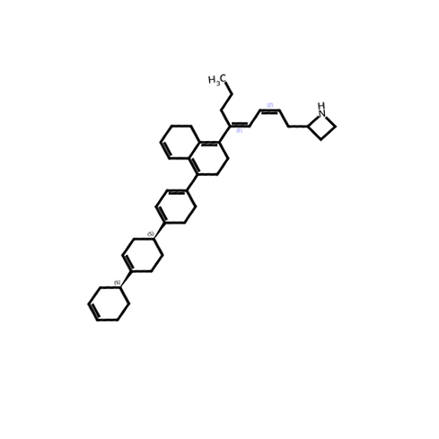 CCC/C(=C\C=C/CC1CCN1)C1=C2CCC=CC2=C(C2=CC=C([C@@H]3CC=C([C@@H]4CC=CCC4)CC3)CC2)CC1